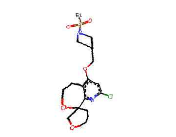 CCS(=O)(=O)N1CC(COc2cc(Cl)nc3c2CCOC32CCOC2)C1